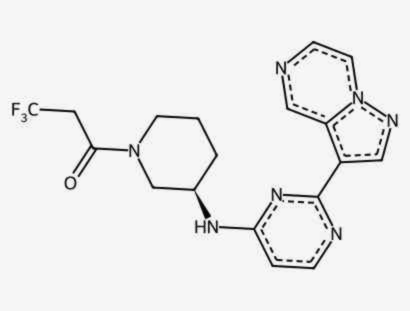 O=C(CC(F)(F)F)N1CCC[C@@H](Nc2ccnc(-c3cnn4ccncc34)n2)C1